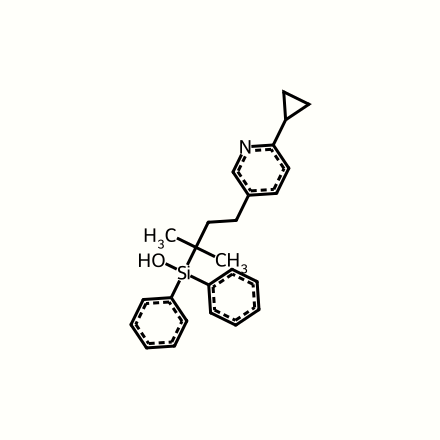 CC(C)(CCc1ccc(C2CC2)nc1)[Si](O)(c1ccccc1)c1ccccc1